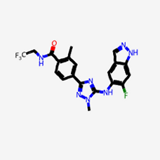 Cc1cc(-c2nc(Nc3cc4cn[nH]c4cc3F)n(C)n2)ccc1C(=O)NCC(F)(F)F